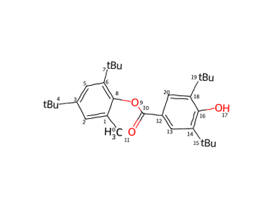 Cc1cc(C(C)(C)C)cc(C(C)(C)C)c1OC(=O)c1cc(C(C)(C)C)c(O)c(C(C)(C)C)c1